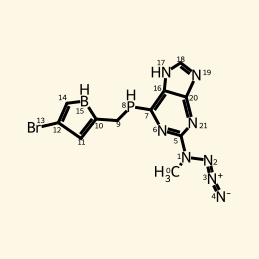 CN(N=[N+]=[N-])c1nc(PCC2=CC(Br)=CB2)c2[nH]cnc2n1